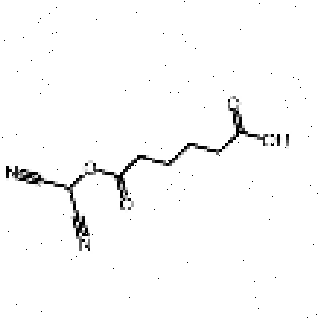 N#CC(C#N)OC(=O)CCCCC(=O)O